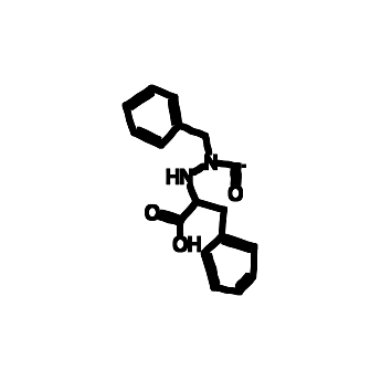 O=[C]N(Cc1ccccc1)NC(Cc1ccccc1)C(=O)O